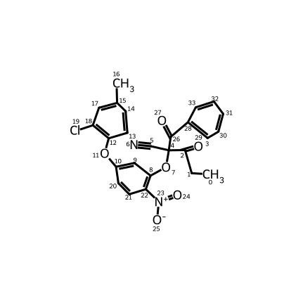 CCC(=O)C(C#N)(Oc1cc(Oc2ccc(C)cc2Cl)ccc1[N+](=O)[O-])C(=O)c1ccccc1